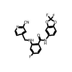 N#Cc1cc(CNc2cc(F)ccc2C(=O)Nc2ccc3c(c2)OC(F)(F)O3)ccn1